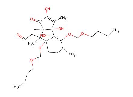 CCCCOCOC1C(C)CCC2(OCOCCCC)C(C)(CC=O)[C@H]3C(=O)C(O)=C(C)C3(O)C12O